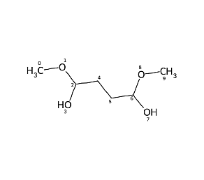 COC(O)CCC(O)OC